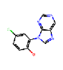 Oc1ccc(Cl)cc1-n1cnc2cncnc21